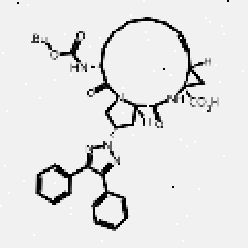 CC(C)(C)OC(=O)N[C@@H]1CCCCC/C=C\[C@@H]2C[C@]2(C(=O)O)NC(=O)[C@@H]2C[C@H](n3nc(-c4ccccc4)c(-c4ccccc4)n3)CN2C1=O